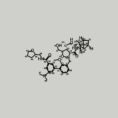 COc1c(CN2O[C@@H](CO)[C@H]([C@H](C)O)[C@H]2C(=O)N[C@H]2C[C@H]3C[C@@H]([C@@H]2C)C3(C)C)cccc1-c1cc(C(=O)NCC2CCCO2)cc(N(C)C)c1